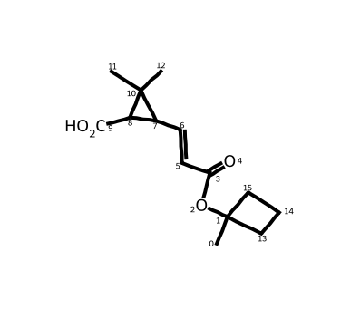 CC1(OC(=O)C=CC2C(C(=O)O)C2(C)C)CCC1